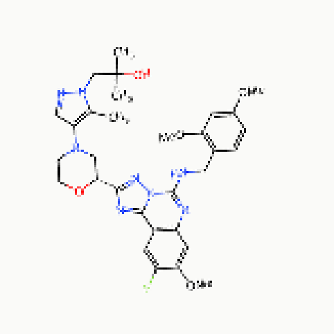 COc1ccc(CNc2nc3cc(OC)c(F)cc3c3nc([C@H]4CN(c5cnn(CC(C)(C)O)c5C)CCO4)nn23)c(OC)c1